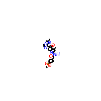 CCS(=O)(=O)c1ccc(CC(=O)Nc2cc(C)c3c(n2)CCC(C)(c2nccn4cc(C)nc24)C3=O)cc1